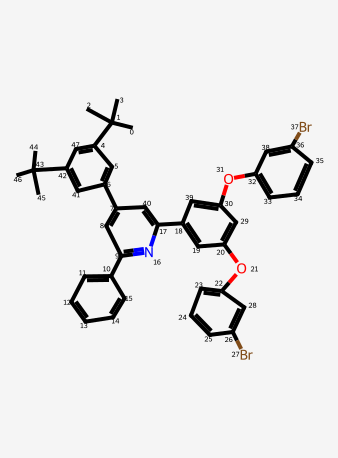 CC(C)(C)c1cc(-c2cc(-c3ccccc3)nc(-c3cc(Oc4cccc(Br)c4)cc(Oc4cccc(Br)c4)c3)c2)cc(C(C)(C)C)c1